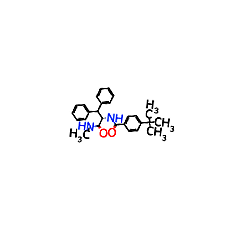 CNC(=O)[C@@H](NC(=O)c1ccc(C(C)(C)C)cc1)C(c1ccccc1)c1ccccc1